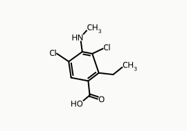 CCc1c(C(=O)O)cc(Cl)c(NC)c1Cl